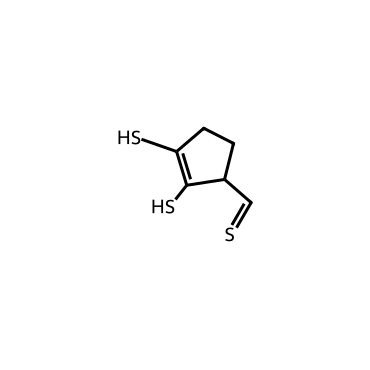 S=CC1CCC(S)=C1S